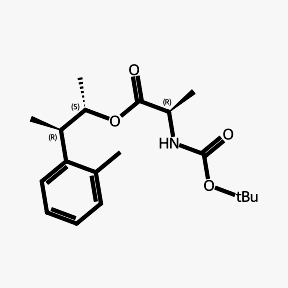 Cc1ccccc1[C@@H](C)[C@H](C)OC(=O)[C@@H](C)NC(=O)OC(C)(C)C